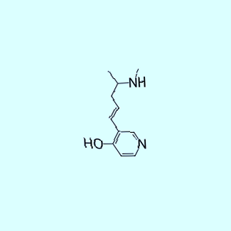 CNC(C)C/C=C/c1cnccc1O